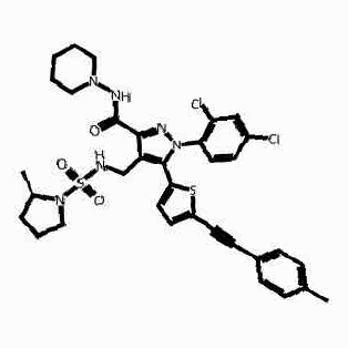 Cc1ccc(C#Cc2ccc(-c3c(CNS(=O)(=O)N4CCC[C@H]4C)c(C(=O)NN4CCCCC4)nn3-c3ccc(Cl)cc3Cl)s2)cc1